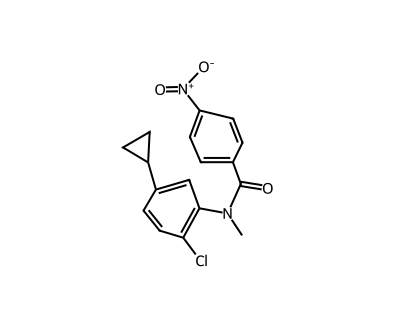 CN(C(=O)c1ccc([N+](=O)[O-])cc1)c1cc(C2CC2)ccc1Cl